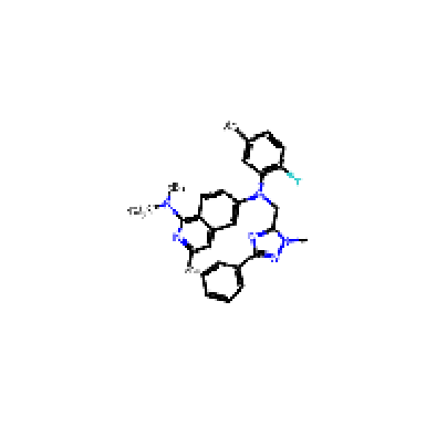 CC(=O)c1ccc(F)c(N(Cc2nc(-c3ccccc3)nn2C)c2ccc3c(N(C(=O)O)C(C)(C)C)nc(C(C)(C)C)cc3c2)c1